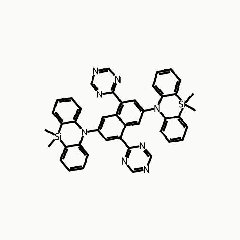 C[Si]1(C)c2ccccc2N(c2cc(-c3ncncn3)c3cc(N4c5ccccc5[Si](C)(C)c5ccccc54)cc(-c4ncncn4)c3c2)c2ccccc21